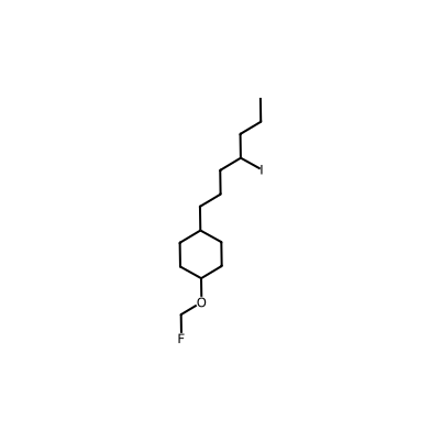 CCCC(I)CCCC1CCC(OCF)CC1